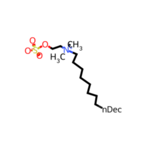 CCCCCCCCCCCCCCCCCC[N+](C)(C)CCOS(=O)(=O)[O-]